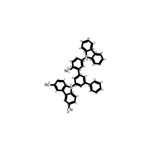 N#Cc1ccc2c(c1)c1cc(C#N)ccc1n2-c1cc(-c2ccccc2)cc(-c2cc(-n3c4ccccc4c4ccccc43)ccc2C#N)c1